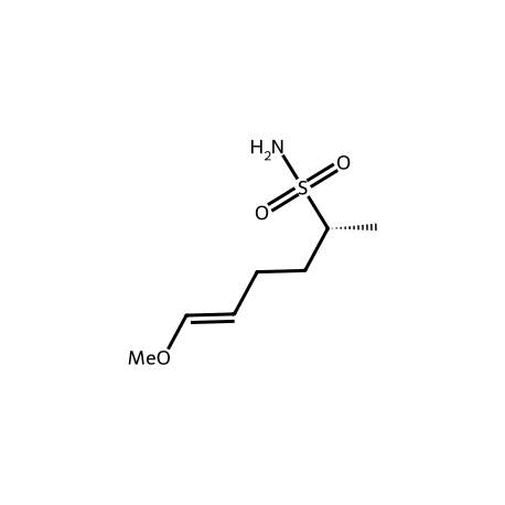 COC=CCC[C@@H](C)S(N)(=O)=O